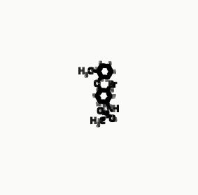 Cc1ccccc1Oc1ccc(NS(C)(=O)=O)cc1Br